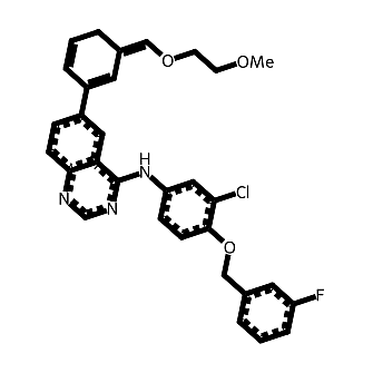 COCCOC=C1C=C(c2ccc3ncnc(Nc4ccc(OCc5cccc(F)c5)c(Cl)c4)c3c2)C=CC1